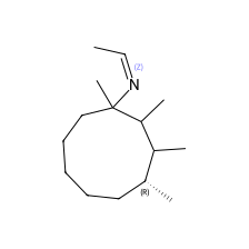 C/C=N\C1(C)CCCCC[C@@H](C)C(C)C1C